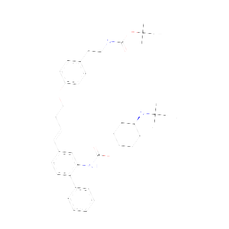 CC(C)(C)N[C@H]1CC[C@H](OC(=O)Nc2cc(C=CCCOc3ccc(CCNC(=O)OC(C)(C)C)cc3)ccc2-c2ccccc2)CC1